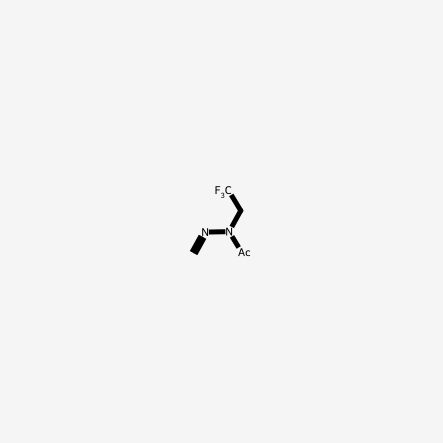 C=NN(CC(F)(F)F)C(C)=O